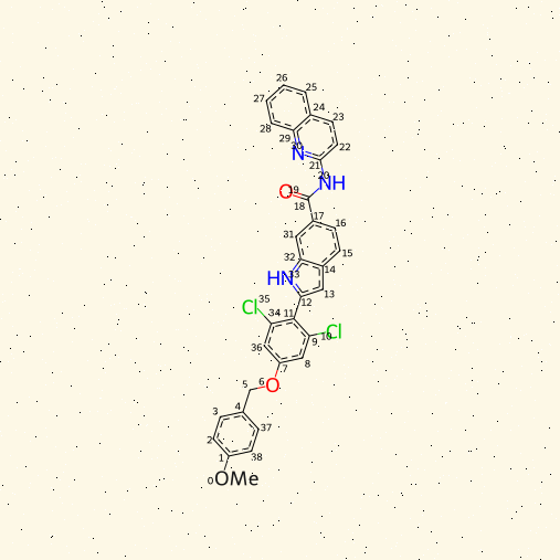 COc1ccc(COc2cc(Cl)c(-c3cc4ccc(C(=O)Nc5ccc6ccccc6n5)cc4[nH]3)c(Cl)c2)cc1